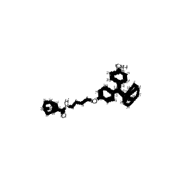 O=C(NCCCCOc1ccc(C(=C2C3CC4CC(C3)CC2C4)c2ccc(O)cc2)cc1)C12CC3CC(CC1C3)C2